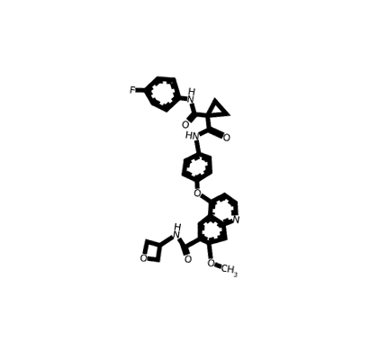 COc1cc2nccc(Oc3ccc(NC(=O)C4(C(=O)Nc5ccc(F)cc5)CC4)cc3)c2cc1C(=O)NC1COC1